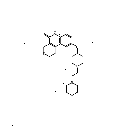 O=c1[nH]c2ccc(OC3CCN(CCN4CCCCC4)CC3)cc2c2c1CSCC2